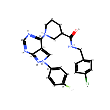 O=C(NCc1ccc(Cl)cc1)C1CCCN(c2ncnc3nn(-c4ccc(F)cc4)cc23)C1